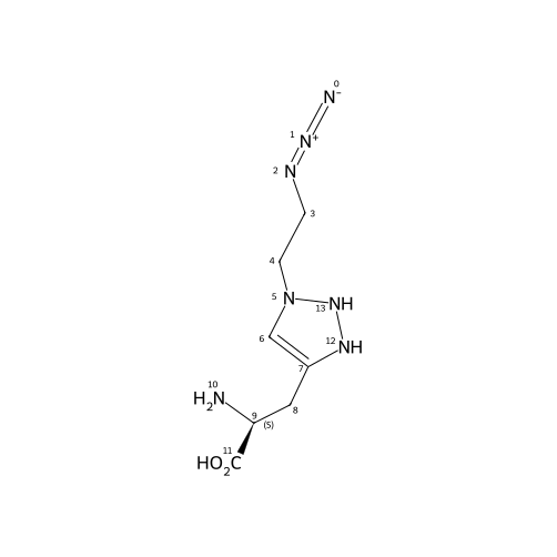 [N-]=[N+]=NCCN1C=C(C[C@H](N)C(=O)O)NN1